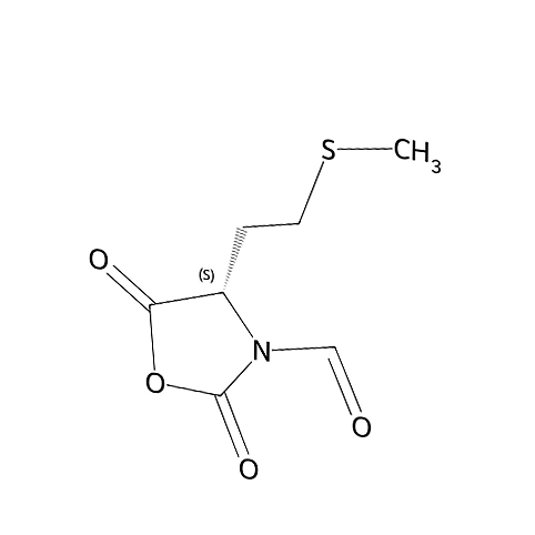 CSCC[C@H]1C(=O)OC(=O)N1C=O